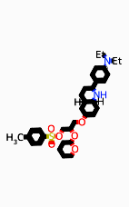 CCN(CC)[C@H]1CC=C(C2CC[C@@H]3CC(OCC(COS(=O)(=O)c4ccc(C)cc4)OC4CCCCO4)=CC[C@@H]3N2)CC1